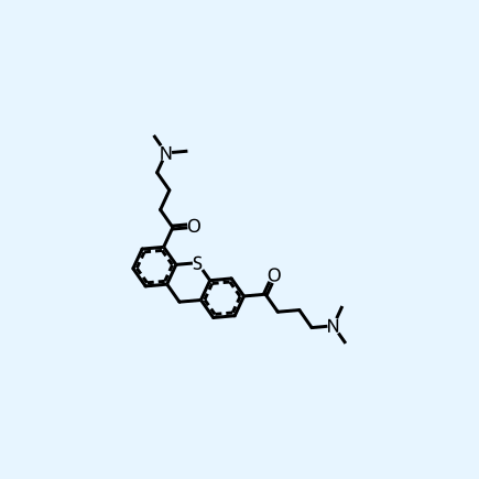 CN(C)CCCC(=O)c1ccc2c(c1)Sc1c(cccc1C(=O)CCCN(C)C)C2